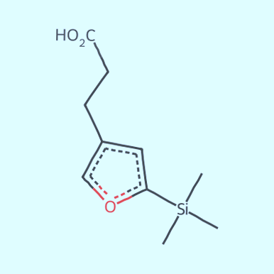 C[Si](C)(C)c1cc(CCC(=O)O)co1